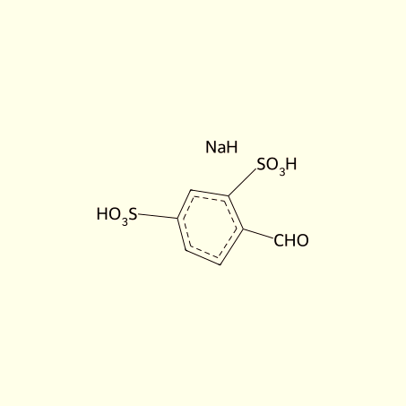 O=Cc1ccc(S(=O)(=O)O)cc1S(=O)(=O)O.[NaH]